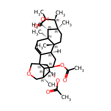 CC(=O)O[C@@H]1C[C@]23COC[C@@](C)([C@@H]2CC[C@H]2C3=CC[C@@]3(C)[C@H](C(=O)O)[C@@](C)([C@H](C)C(C)C)CC[C@]23C)[C@H]1OC(C)=O